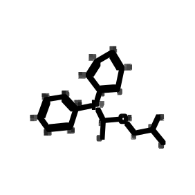 CC(C)COC(C)P(c1ccccc1)c1ccccc1